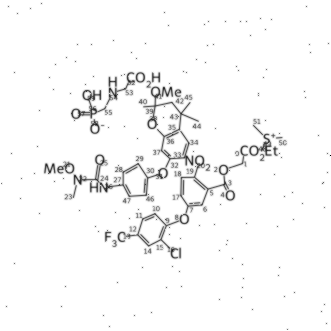 CCOC(=O)COC(=O)c1cc(Oc2ccc(C(F)(F)F)cc2Cl)ccc1[N+](=O)[O-].CON(C)C(=O)Nc1ccc(Oc2ccc3c(c2)OC(C)(OC)CC3(C)C)cc1.C[S+](C)C.O=C(O)CNCP(=O)([O-])O